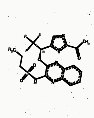 CCCS(=O)(=O)Nc1nc2ccccc2nc1O[C@H](c1cnc(C(C)=O)s1)C(F)(F)F